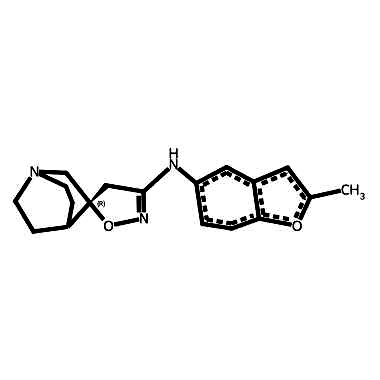 Cc1cc2cc(NC3=NO[C@@]4(C3)CN3CCC4CC3)ccc2o1